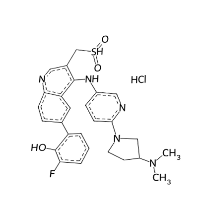 CN(C)C1CCN(c2ccc(Nc3c(C[SH](=O)=O)cnc4ccc(-c5cccc(F)c5O)cc34)cn2)C1.Cl